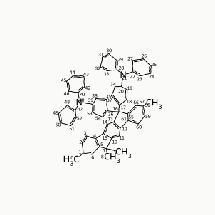 Cc1ccc2c(c1)C(C)(C)c1cc3c(cc1-2)C(c1ccc(N(c2ccccc2)c2ccccc2)cc1)(c1ccc(N(c2ccccc2)c2ccccc2)cc1)c1cc(C)ccc1-3